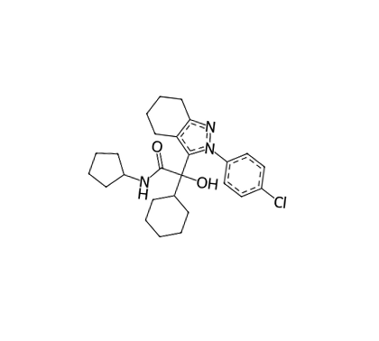 O=C(NC1CCCC1)C(O)(c1c2c(nn1-c1ccc(Cl)cc1)CCCC2)C1CCCCC1